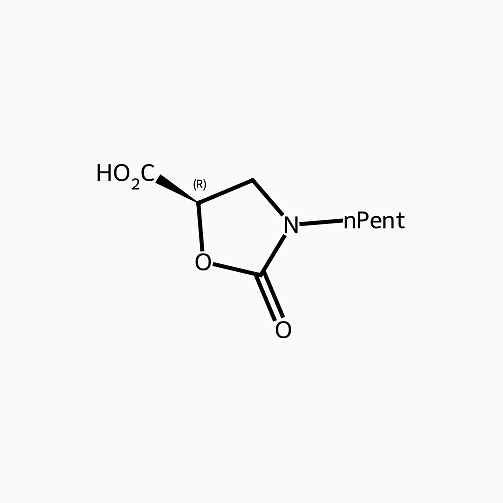 CCCCCN1C[C@H](C(=O)O)OC1=O